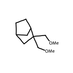 COCC1(COC)CC2CCC1C2